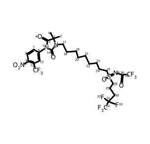 CC1(C)C(=O)N(c2ccc([N+](=O)[O-])c(C(F)(F)F)c2)C(=O)N1CCCCCCCCCS(=O)(CCCC(F)(F)C(F)(F)F)=NC(=O)C(F)(F)F